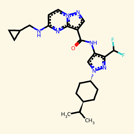 CC(C)[C@H]1CC[C@H](n2cc(NC(=O)c3cnn4ccc(NCC5CC5)nc34)c(C(F)F)n2)CC1